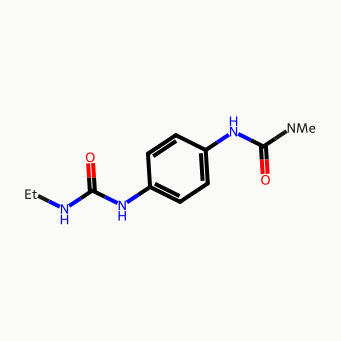 CCNC(=O)Nc1ccc(NC(=O)NC)cc1